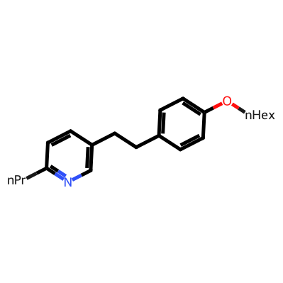 CCCCCCOc1ccc(CCc2ccc(CCC)nc2)cc1